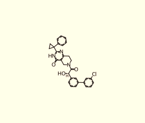 O=C([C@H](O)c1cccc(-c2cccc(Cl)c2)c1)N1CCc2nc(C3(c4ccccc4)CC3)[nH]c(=O)c2C1